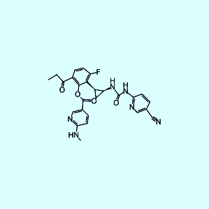 CCC(=O)c1ccc(F)c([C@@H]2C[C@@H]2NC(=O)Nc2ccc(C#N)cn2)c1OC(=O)c1ccc(NC)nc1